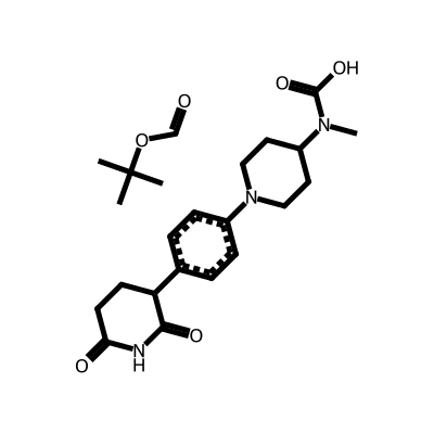 CC(C)(C)OC=O.CN(C(=O)O)C1CCN(c2ccc(C3CCC(=O)NC3=O)cc2)CC1